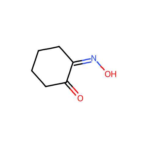 O=C1CCCCC1=NO